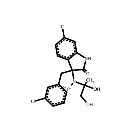 CN(C(C)(O)CO)C1(Cc2cccc(Cl)c2)C(=O)Nc2cc(Cl)ccc21